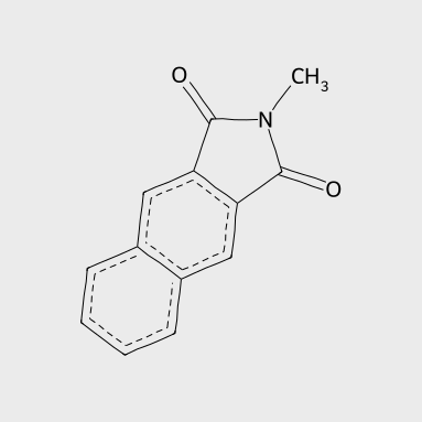 CN1C(=O)c2cc3ccccc3cc2C1=O